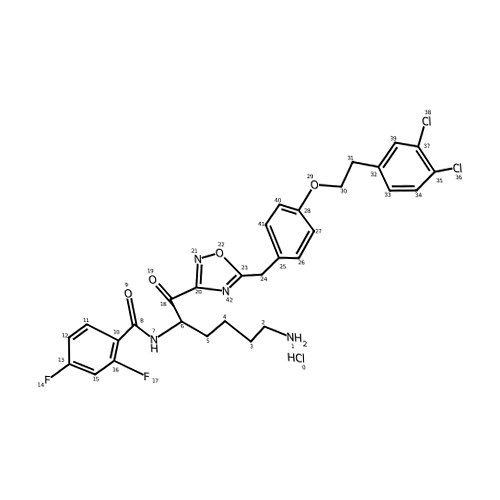 Cl.NCCCCC(NC(=O)c1ccc(F)cc1F)C(=O)c1noc(Cc2ccc(OCCc3ccc(Cl)c(Cl)c3)cc2)n1